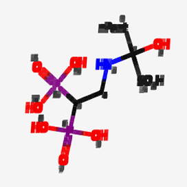 CCCCCC(O)(NCC(P(=O)(O)O)P(=O)(O)O)S(=O)(=O)O